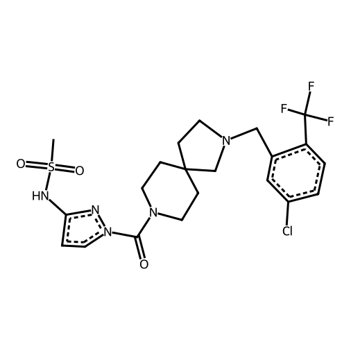 CS(=O)(=O)Nc1ccn(C(=O)N2CCC3(CCN(Cc4cc(Cl)ccc4C(F)(F)F)C3)CC2)n1